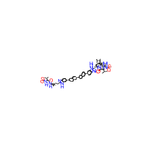 COC(=O)N[C@H](C(=O)N[C@@H]1C[C@@H]1CCc1nc2ccc(-c3ccc4cc(-c5ccc6cc(-c7ccc8nc([C@@H]9C[C@H]%10C[C@H]%10N9C(=O)[C@@H](NC(=O)OC)C(C)C)[nH]c8c7)ccc6c5)ccc4c3)cc2[nH]1)C(C)C